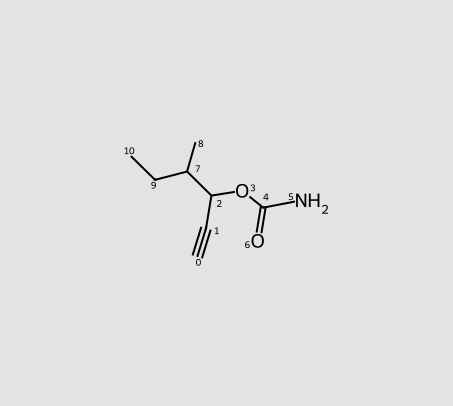 C#CC(OC(N)=O)C(C)CC